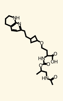 CC(=O)NCC(C)OC(=O)NC(CCOC1CC(CCc2ccc3c(n2)NCCC3)C1)C(=O)O